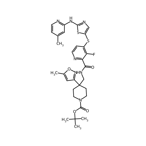 Cc1ccnc(Nc2ncc(Sc3ccnc(C(=O)NCC4(c5cc(C)on5)CCN(C(=O)OC(C)(C)C)CC4)c3F)s2)c1